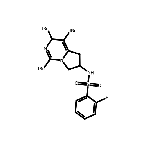 CC(C)(C)C1=NC(C(C)(C)C)C(C(C)(C)C)=C2CC(NS(=O)(=O)c3ccccc3F)CN12